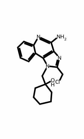 Nc1nc2ccccc2c2c1nc(CCl)n2CC1(O)CCCCC1